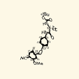 CC[C@@H](NC(=O)OC(C)(C)C)C(=O)Nc1ccc(Oc2ccc(C#N)c(OC)c2)cc1